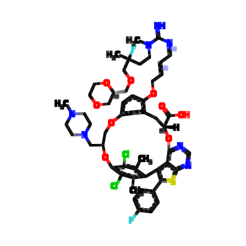 Cc1c(Cl)c2c(Cl)c(C)c1-c1c(-c3ccc(F)cc3)sc3ncnc(c13)O[C@@H](C(=O)O)Cc1cc(ccc1OC/C=C/C=N\C(=N)N(C)CCC(C)(F)COC[C@@H]1COCCO1)OCC(CN1CCN(C)CC1)O2